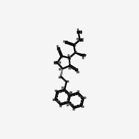 CC(C)[C@H](C(=O)NO)N1C(=O)N[C@@H](CCc2cccc3ccccc23)C1=O